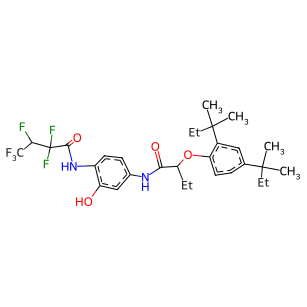 CCC(Oc1ccc(C(C)(C)CC)cc1C(C)(C)CC)C(=O)Nc1ccc(NC(=O)C(F)(F)C(F)C(F)(F)F)c(O)c1